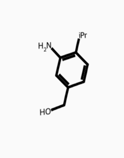 CC(C)c1ccc(CO)cc1N